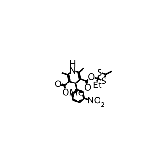 CCC1(OC(=O)C2=C(C)NC(C)=C(C(=O)OC)C2c2cccc([N+](=O)[O-])c2)SC(C)S1